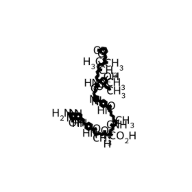 C/C=C/C1OC([C@@H](/C=C/C=C(\C)C[C@@H](C)/C=C(C)\C=C\C2CC=CC(=O)O2)NC(=O)OCCc2cn(-c3ccc(C(=O)NCCCC[C@@H](C)NC(=O)CCC(NC(=O)CC[C@@H](C)NC(=O)c4ccc(NCc5cnc6nc(N)nc(O)c6n5)cc4)C(=O)O)cc3)nn2)C[C@@H](O)[C@@H]1C